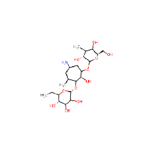 CCC1O[C@H](OC2C(C)CC(N)CC(OC3O[C@H](CO)C(O)C(C)[C@H]3O)[C@H]2O)C(O)C(O)[C@@H]1O